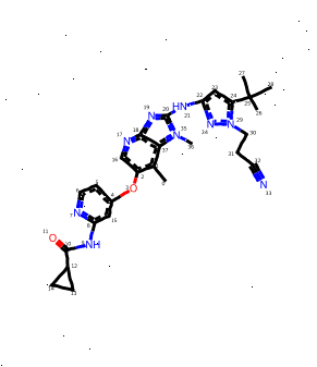 Cc1c(Oc2ccnc(NC(=O)C3CC3)c2)cnc2nc(Nc3cc(C(C)(C)C)n(CCC#N)n3)n(C)c12